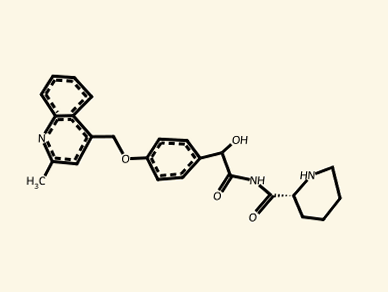 Cc1cc(COc2ccc(C(O)C(=O)NC(=O)[C@H]3CCCCN3)cc2)c2ccccc2n1